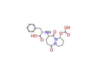 O=C(O)OC1CCCN2C(=O)CCC(NC(Cc3ccccc3)C(=O)O)C(=O)N12